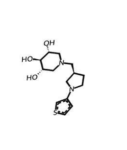 O[C@H]1[C@H](O)CN(C[C@H]2CCN(c3ccsc3)C2)C[C@@H]1O